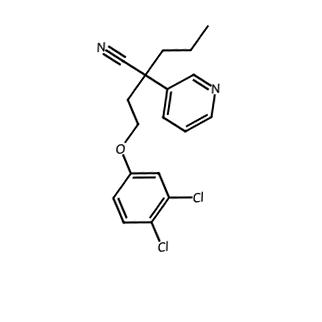 CCCC(C#N)(CCOc1ccc(Cl)c(Cl)c1)c1cccnc1